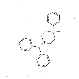 CC1(c2ccccc2)CCN(C(c2ccccc2)c2ccccc2)CC1